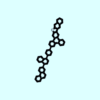 c1ccc2cc3c(cc2c1)oc1cc2c4ccc(-c5ccc(-c6ccc(-c7ccc8c(ccc9ccccc98)c7)c7ccccc67)cc5)cc4c4ccccc4c2cc13